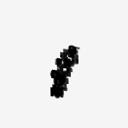 O=C1O[C@@H](Cn2ccnn2)CN1c1ccc(N2CCC[S+]([O-])CCC2)c(F)c1